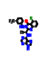 CC[C@H](Nc1ncnc2[nH]cnc12)c1nc2cccc(F)c2c(=O)n1Nc1cccc(C(F)(F)F)c1